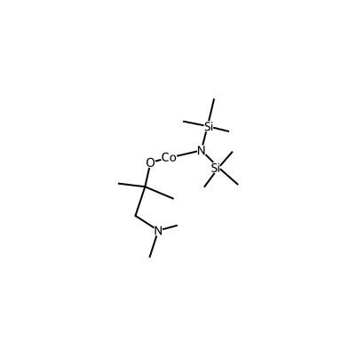 CN(C)CC(C)(C)[O][Co][N]([Si](C)(C)C)[Si](C)(C)C